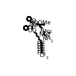 C#C[C@](CCn1cnc2c(N)nc(F)nc21)(COP(=O)(N[C@@H](Cc1ccccc1)C(=O)OCCCCCCC(F)(F)C(F)(F)C(F)(F)C(F)(F)C(F)(F)C(F)(F)F)Oc1ccccc1)OC